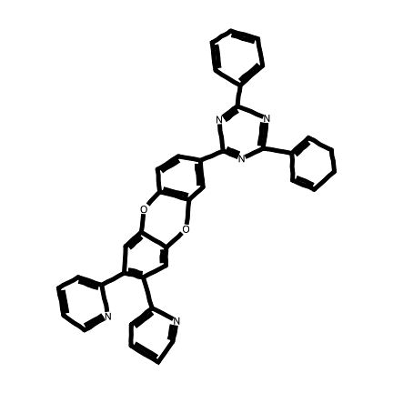 C1=CC(c2nc(-c3ccccc3)nc(-c3ccc4c(c3)Oc3cc(-c5ccccn5)c(-c5ccccn5)cc3O4)n2)=CCC1